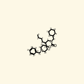 CCCCC1CN(CC2CCCCC2)C(=O)OC12CCN(Cc1ccccc1)CC2